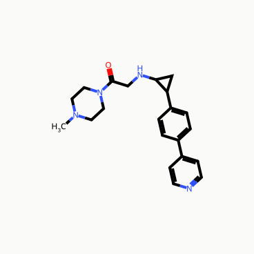 CN1CCN(C(=O)CNC2CC2c2ccc(-c3ccncc3)cc2)CC1